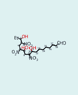 CCC(O)C(CC(C(O)CC(C(O)CCCCCCCC=O)[N+](=O)[O-])[N+](=O)[O-])[N+](=O)[O-]